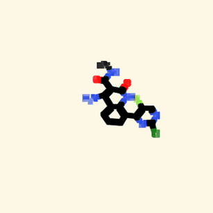 CCCNC(=O)c1c(N)c2cccc(-c3nc(Cl)ncc3F)c2[nH]c1=O